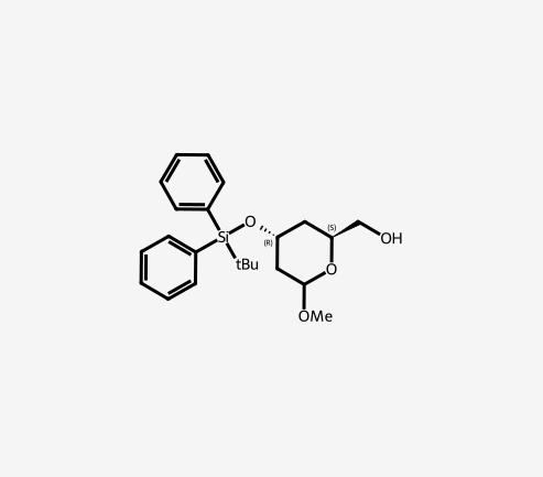 COC1C[C@H](O[Si](c2ccccc2)(c2ccccc2)C(C)(C)C)C[C@@H](CO)O1